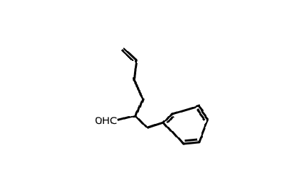 C=CCCC(C=O)Cc1ccccc1